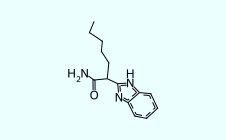 CCCCCC(C(N)=O)c1nc2ccccc2[nH]1